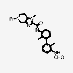 Cc1c(NC=O)cccc1-c1cccc(NC(=O)c2nc3c(n2C)CCN(C(C)C)C3)c1C